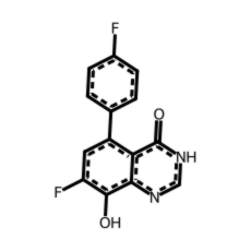 O=c1[nH]cnc2c(O)c(F)cc(-c3ccc(F)cc3)c12